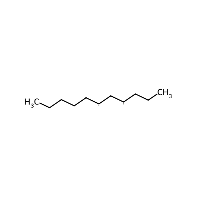 CCC[CH]C[CH]CCCCC